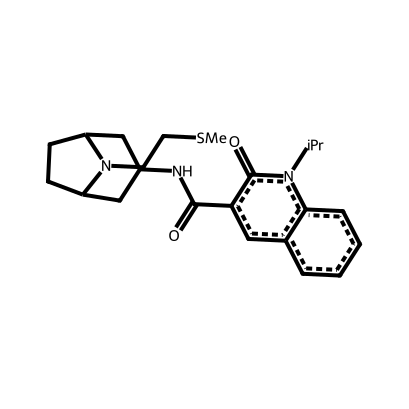 CSCCN1C2CCC1CC(NC(=O)c1cc3ccccc3n(C(C)C)c1=O)C2